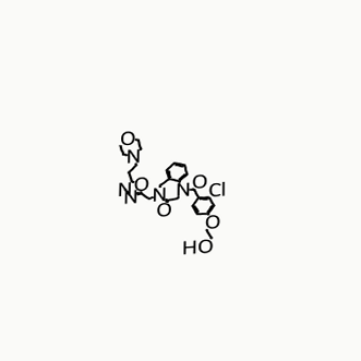 O=C1CN(C(=O)c2ccc(OCCO)cc2Cl)c2ccccc2CN1Cc1nnc(CCN2CCOCC2)o1